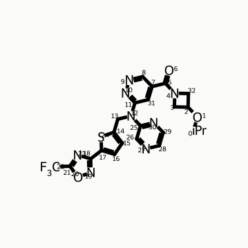 CC(C)OC1CN(C(=O)c2cnnc(N(Cc3ccc(-c4noc(C(F)(F)F)n4)s3)c3cnccn3)c2)C1